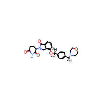 [2H]C(c1ccc(C([2H])([2H])Oc2cccc3c2CN(C2CCC(=O)NC2=O)C3=O)cc1)N1CCOCC1